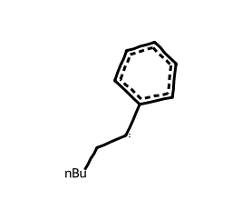 CCCCC[C]c1ccccc1